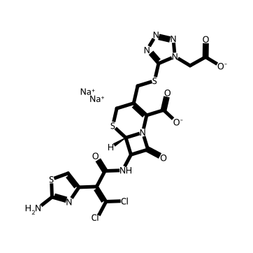 Nc1nc(C(C(=O)NC2C(=O)N3C(C(=O)[O-])=C(CSc4nnnn4CC(=O)[O-])CS[C@@H]23)=C(Cl)Cl)cs1.[Na+].[Na+]